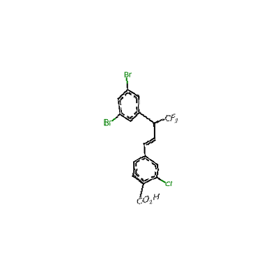 O=C(O)c1ccc(C=CC(c2cc(Br)cc(Br)c2)C(F)(F)F)cc1Cl